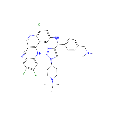 CN(C)Cc1ccc(C(Nc2cc(Cl)c3ncc(C#N)c(Nc4ccc(F)c(Cl)c4)c3c2)c2cn(C3CCN(C(C)(C)C)CC3)nn2)cc1